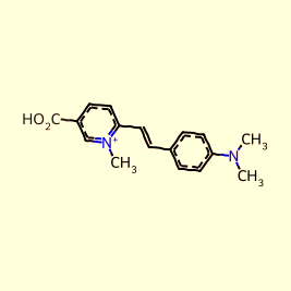 CN(C)c1ccc(/C=C/c2ccc(C(=O)O)c[n+]2C)cc1